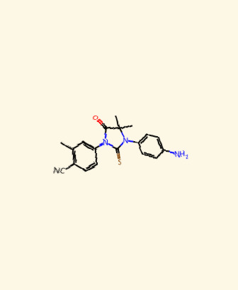 Cc1cc(N2C(=O)C(C)(C)N(c3ccc(N)cc3)C2=S)ccc1C#N